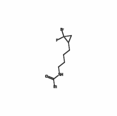 CCC(=O)NCCCCC1CC1(F)Br